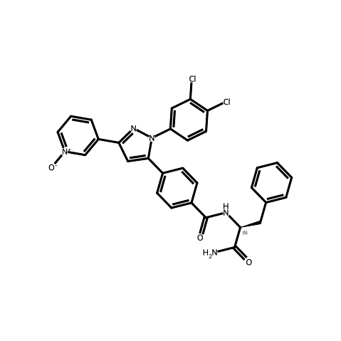 NC(=O)[C@H](Cc1ccccc1)NC(=O)c1ccc(-c2cc(-c3ccc[n+]([O-])c3)nn2-c2ccc(Cl)c(Cl)c2)cc1